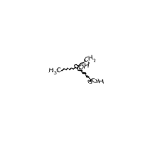 C=CCC1(O)CCC(CCCCCCCC)=C1C=CC=CC=CC(=O)O